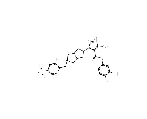 Cn1nc(C2CC3CC(O)(Cc4ccc(S(C)(=O)=O)cn4)CC3C2)c(C(=O)Nc2ccc(P)c(Cl)c2)c1N